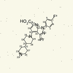 CC(C)c1nn(-c2ccc(F)cc2)c2nc(C(=O)O)cc(N3CCC(C4CCN(C)CC4)CC3)c12